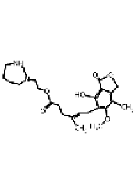 COc1c(C)c2c(c(O)c1C/C=C(\C)CCC(=O)OCCN1CCCCNC1)C(=O)OC2